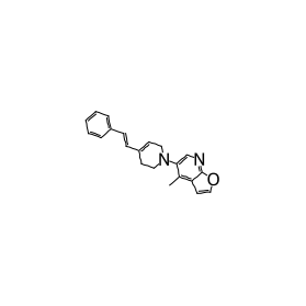 Cc1c(N2CC=C(C=Cc3ccccc3)CC2)cnc2occc12